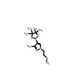 COCCn1cc(B2OC(C)(C)C(C)(C)O2)c(C)n1